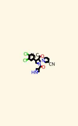 CC(Oc1ccc(C#N)cn1)C1CN(C(=O)C2CNC2)CC1c1ccc(Cl)c(Cl)c1